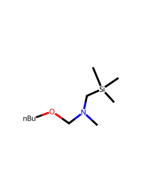 CCCCOCN(C)C[Si](C)(C)C